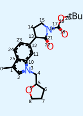 Cc1cn(CC2CCCO2)c2cc(C3CCN(C(=O)OC(C)(C)C)C3=O)ccc12